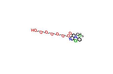 Cc1cc(=O)c2c(OCCOCCOCCOCCOCCOCCO)ncc(Cl)c2n1-c1c(Cl)cccc1Cl